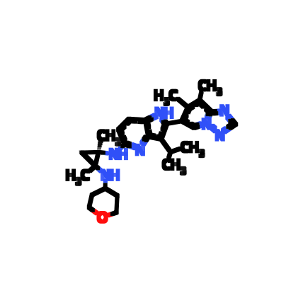 Cc1c(-c2[nH]c3ccc(N[C@]4(C)CC4(C)NC4CCOCC4)nc3c2C(C)C)cn2ncnc2c1C